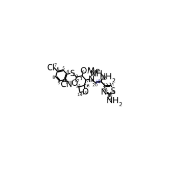 COC1C(Sc2cc(Cl)ccc2C#N)OC2COC2C1N(N)/C=C(\N)c1csc(N)n1